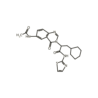 CC(=O)Nc1ccc2ncn(C(CC3CCCCC3)C(=O)Nc3nccs3)c(=O)c2c1